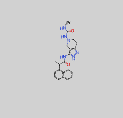 CC(C)NC(=O)NN1CCc2n[nH]c(NC(=O)C(C)c3cccc4ccccc34)c2C1